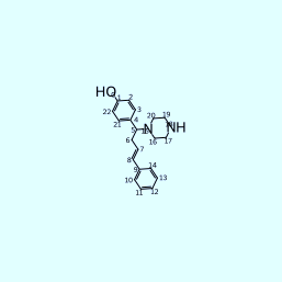 Oc1ccc(C(C/C=C/c2ccccc2)N2CCNCC2)cc1